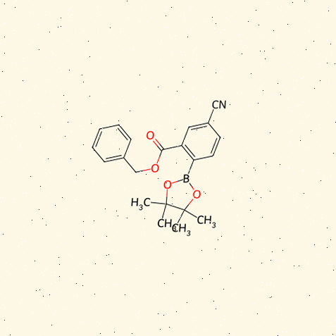 CC1(C)OB(c2ccc(C#N)cc2C(=O)OCc2ccccc2)OC1(C)C